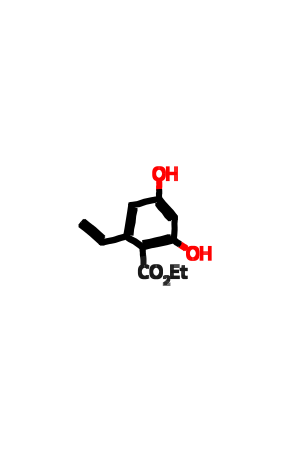 C=Cc1cc(O)cc(O)c1C(=O)OCC